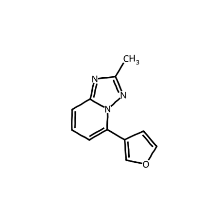 Cc1nc2cccc(-c3ccoc3)n2n1